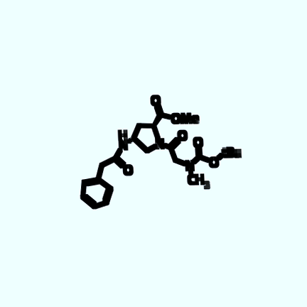 COC(=O)[C@@H]1C[C@@H](NC(=O)Cc2ccccc2)CN1C(=O)CN(C)C(=O)OC(C)(C)C